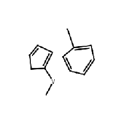 Cc1ccccc1.[CH3][V][C]1=CC=CC1